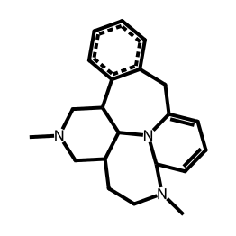 CN1CC2CCN(C)C3C=CC=C4Cc5ccccc5C(C1)C2N43